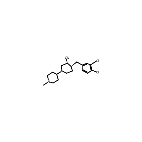 CN1CCC(N2CC[C@H](Cc3ccc(Cl)c(Cl)c3)[C@H](C#N)C2)CC1